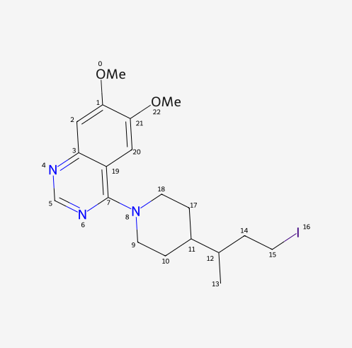 COc1cc2ncnc(N3CCC(C(C)CCI)CC3)c2cc1OC